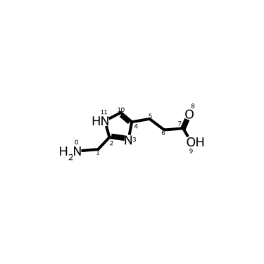 NCc1nc(CCC(=O)O)c[nH]1